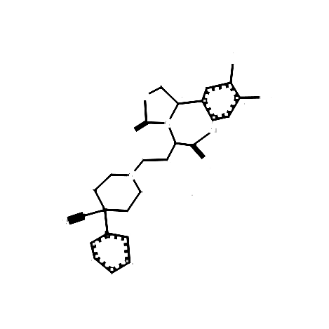 Cl.N#CC1(c2ccccc2)CCN(CCC(C(N)=O)N2C(=O)OCC2c2ccc(F)c(F)c2)CC1